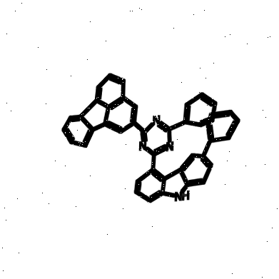 c1ccc(-c2ccc3[nH]c4cccc(-c5nc(-c6ccccc6)nc(-c6cc7c8c(cccc8c6)-c6ccccc6-7)n5)c4c3c2)cc1